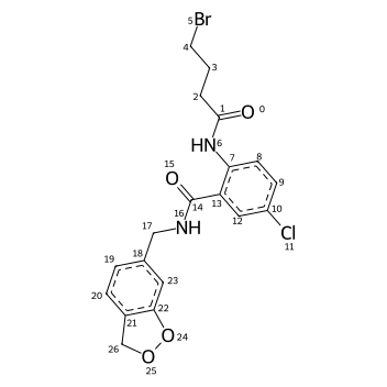 O=C(CCCBr)Nc1ccc(Cl)cc1C(=O)NCc1ccc2c(c1)OOC2